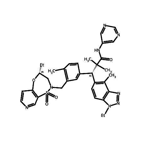 CC[C@@H]1CN(Cc2cc([C@@H](c3ccc4c(nnn4CC)c3C)C(C)(C)C(=O)Nc3cncnc3)ccc2C)S(=O)(=O)c2cnccc2O1